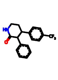 O=C1NCCC(c2ccc(C(F)(F)F)cc2)C1c1ccccc1